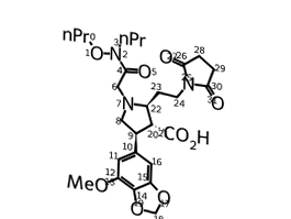 CCCON(CCC)C(=O)CN1C[C@H](c2cc(OC)c3c(c2)OCO3)[C@@H](C(=O)O)[C@@H]1CCN1C(=O)CCC1=O